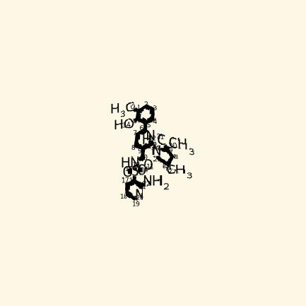 Cc1cccc(-c2ccc(C(=O)NS(=O)(=O)c3cccnc3N)c(N3C[C@@H](C)CC3(C)C)n2)c1O